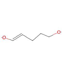 [O]C=CCCC[O]